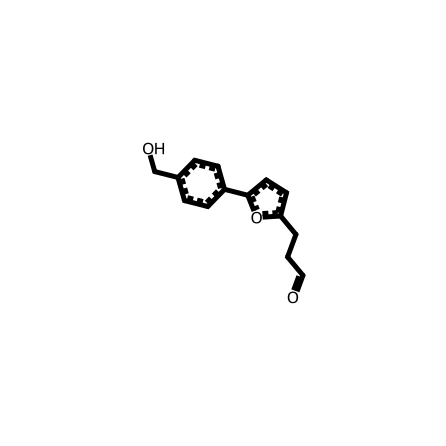 O=CCCc1ccc(-c2ccc(CO)cc2)o1